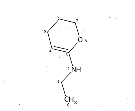 CCNC1=CCCCO1